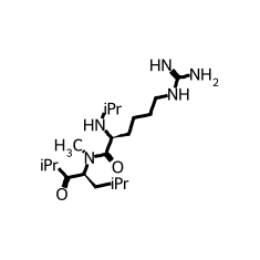 CC(C)C[C@@H](C(=O)C(C)C)N(C)C(=O)[C@H](CCCCNC(=N)N)NC(C)C